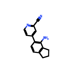 N#Cc1cc(-c2ccc3c(c2N)CCC3)ccn1